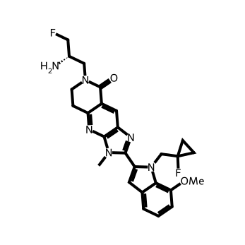 COc1cccc2cc(-c3nc4cc5c(nc4n3C)CCN(C[C@H](N)CF)C5=O)n(CC3(F)CC3)c12